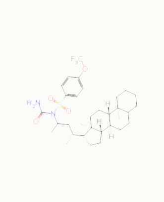 CC(C[C@@H](C)[C@H]1CC[C@H]2[C@@H]3CCC4CCCC[C@]4(C)[C@H]3CC[C@]12C)N(C(N)=O)S(=O)(=O)c1ccc(OC(F)(F)F)cc1